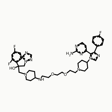 Nc1nccc(-c2c(-c3ccc(F)cc3)ncn2C2CCN(CCOCCOCCNC3CCN(CC(O)(Cn4cncn4)c4ccc(F)cc4F)CC3)CC2)n1